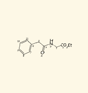 CCOC(=O)CNC(=O)Cc1ccccc1